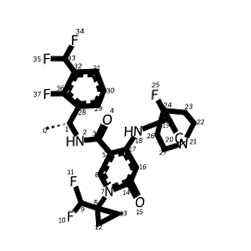 C[C@@H](NC(=O)c1cn(C2(C(F)F)CC2)c(=O)cc1NC1CN2CCC1(F)CC2)c1cccc(C(F)F)c1F